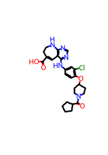 O=C(O)C1=Cc2c(ncnc2Nc2ccc(OC3CCN(C(=O)C4CCCC4)CC3)c(Cl)c2)NCC1